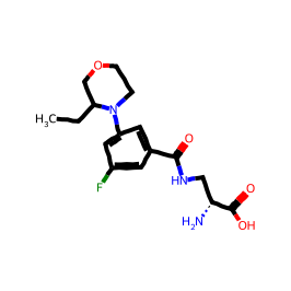 CCC1COCCN1c1cc(F)cc(C(=O)NC[C@@H](N)C(=O)O)c1